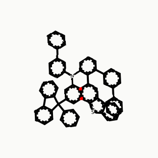 c1ccc(-c2cccc(-c3cccc(N(c4cccc(-c5ccccc5)c4)c4cccc(C5(c6ccccc6)c6ccccc6-c6ccccc65)c4)c3-c3ccc4sc5ccccc5c4c3)c2)cc1